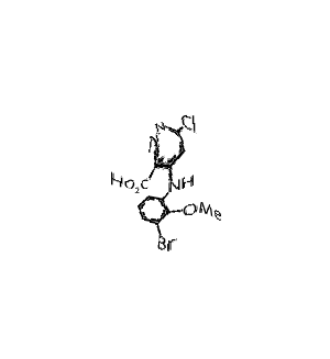 COc1c(Br)cccc1Nc1cc(Cl)nnc1C(=O)O